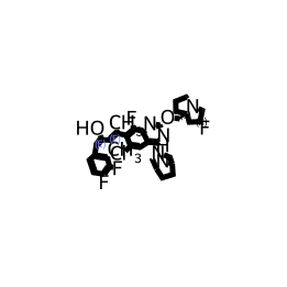 C/C(=C\C(O)=C/c1ccc(F)c(F)c1C)c1c(Cl)cc2c(N3CC4CCC(C3)N4)nc(OC[C@@]34CCCN3C[C@H](F)C4)nc2c1F